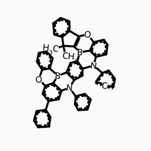 CC1(C)C2=C(Oc3cccc4c3B2c2cc3c(cc2N4c2ccccc2)N(c2ccccc2)c2cc(-c4ccccc4)cc4c2B3c2ccccc2O4)c2ccccc21